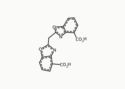 O=C(O)c1cccc2oc(Cc3nc4c(C(=O)O)cccc4o3)nc12